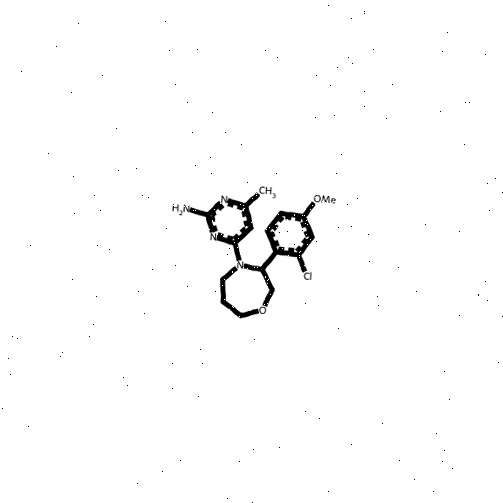 COc1ccc(C2COCCCN2c2cc(C)nc(N)n2)c(Cl)c1